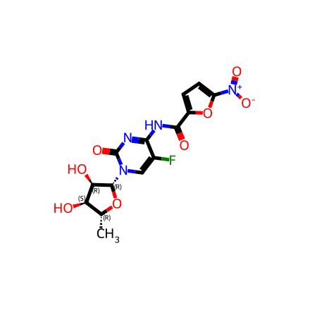 C[C@H]1O[C@@H](n2cc(F)c(NC(=O)c3ccc([N+](=O)[O-])o3)nc2=O)[C@H](O)[C@@H]1O